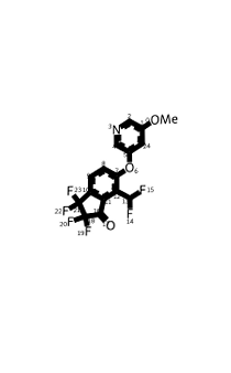 COc1cncc(Oc2ccc3c(c2C(F)F)C(=O)C(F)(F)C3(F)F)c1